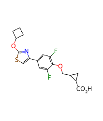 O=C(O)C1CC1COc1c(F)cc(-c2csc(OC3CCC3)n2)cc1F